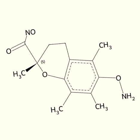 Cc1c(C)c2c(c(C)c1ON)CC[C@@](C)(C(=O)N=O)O2